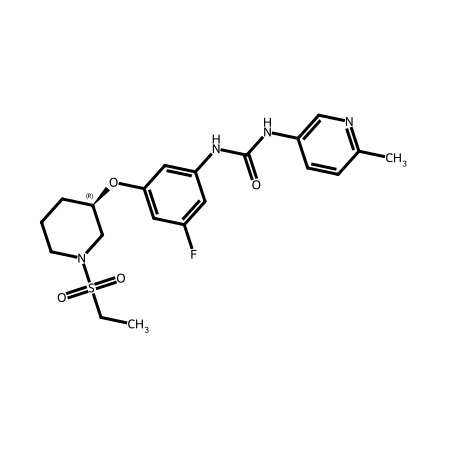 CCS(=O)(=O)N1CCC[C@@H](Oc2cc(F)cc(NC(=O)Nc3ccc(C)nc3)c2)C1